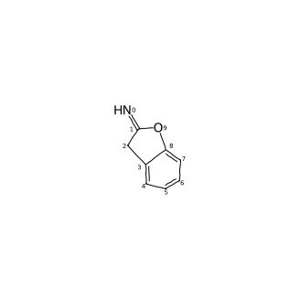 N=C1Cc2ccccc2O1